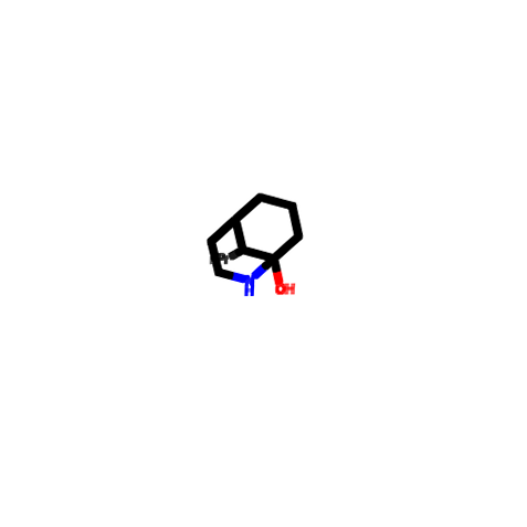 CCCC1C2CCCC1(O)NCC2